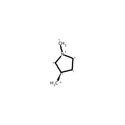 [CH2][C@@H]1CCN(C)C1